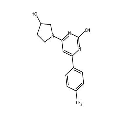 N#Cc1nc(-c2ccc(C(F)(F)F)cc2)cc(N2CCC(O)C2)n1